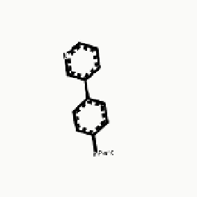 CCCCCc1ccc(-c2cc[c]nc2)cc1